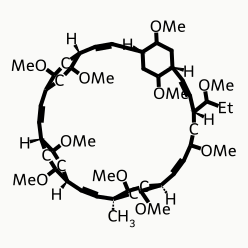 CCC(OC)[C@H]1/C=C\[C@H]2CC(OC)[C@@H](/C=C\[C@H]3CC(OC)C(/C=C\[C@H]4CC(OC)[C@@H](/C=C\[C@]5(C)CC(OC)[C@H](/C=C\C(OC)C1)CC5OC)CC4OC)CC3OC)CC2OC